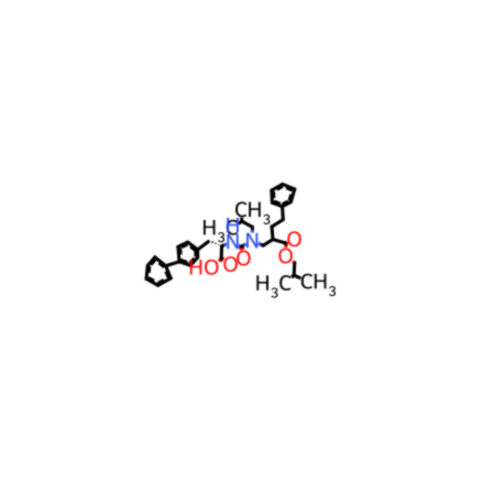 CC(C)COC(=O)C(CCc1ccccc1)CN(CC(C)C)C(=O)N[C@@H](Cc1ccc(-c2ccccc2)cc1)C(=O)O